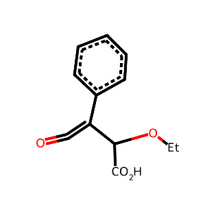 CCOC(C(=O)O)C(=C=O)c1ccccc1